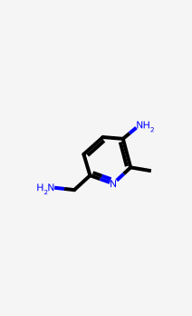 Cc1nc(CN)ccc1N